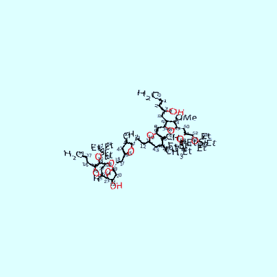 C=CCC(O)CC1C(CC2OC(CC[C@@H]3OC(CC[C@]45CC(O)C(O4)[C@H]4CC(O5)C(O[Si](CC)(CC)CC)C(CC=C)O4)CC3=C)CC(C)C2=C)O[C@H](CC(CO[Si](CC)(CC)CC)O[Si](CC)(CC)CC)[C@@H]1OC